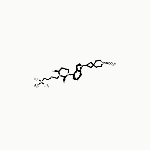 C[Si](C)(C)CCOCN1C(=O)CCN(c2cccc3c2ccn3C2CC3(CCN(C(=O)O)CC3)C2)C1=O